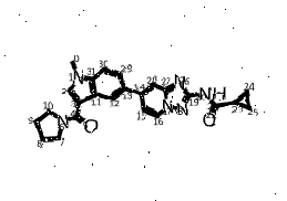 Cn1cc(C(=O)N2CCCC2)c2cc(-c3ccn4nc(NC(=O)C5CC5)nc4c3)ccc21